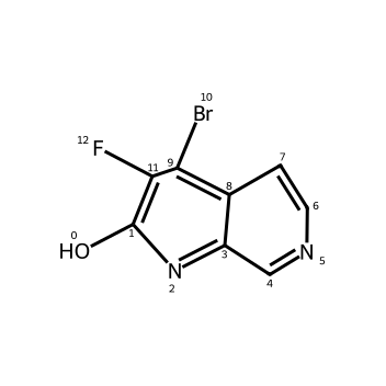 Oc1nc2cnccc2c(Br)c1F